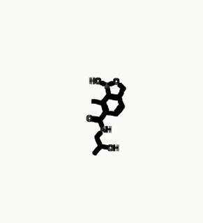 Cc1c(C(=O)NCC(C)O)ccc2c1B(O)OC2